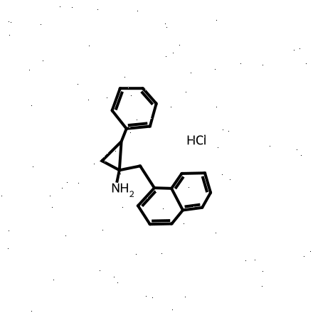 Cl.NC1(Cc2cccc3ccccc23)CC1c1ccccc1